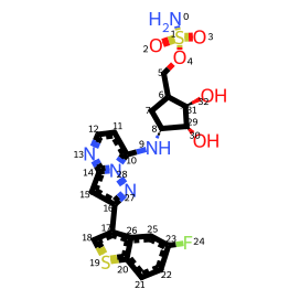 NS(=O)(=O)OCC1C[C@@H](Nc2ccnc3cc(-c4csc5ccc(F)cc45)nn23)[C@H](O)[C@@H]1O